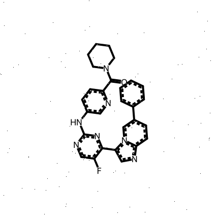 O=C(c1ccc(Nc2ncc(F)c(-c3cnc4ccc(-c5ccccc5)cn34)n2)cn1)N1CCCCC1